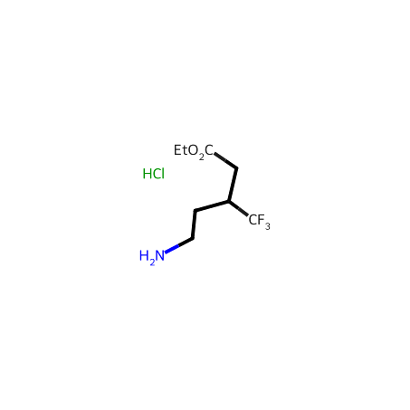 CCOC(=O)CC(CCN)C(F)(F)F.Cl